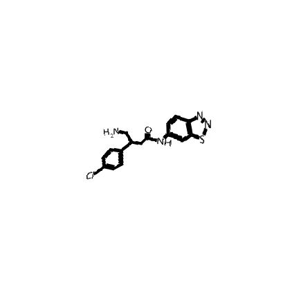 NCC(CC(=O)Nc1ccc2nnsc2c1)c1ccc(Cl)cc1